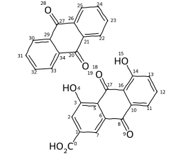 O=C(O)c1cc(O)c2c(c1)C(=O)c1cccc(O)c1C2=O.O=C1c2ccccc2C(=O)c2ccccc21